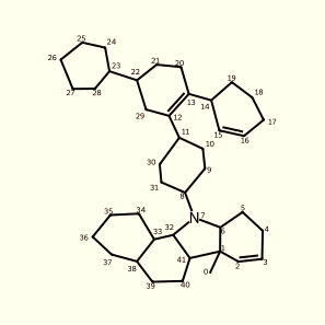 CC12C=CCCC1N(C1CCC(C3=C(C4C=CCCC4)CCC(C4CCCCC4)C3)CC1)C1C3CCCCC3CCC12